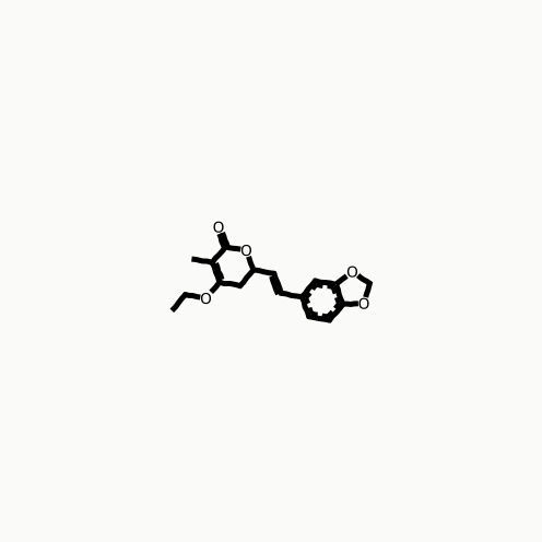 CCOC1=C(C)C(=O)OC(C=Cc2ccc3c(c2)OCO3)C1